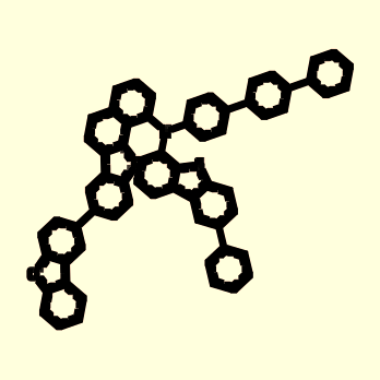 c1ccc(-c2ccc(-c3ccc(N(c4cccc5c4sc4ccc(-c6ccccc6)cc45)c4cccc5ccc6c7cc(-c8ccc9oc%10ccccc%10c9c8)ccc7oc6c45)cc3)cc2)cc1